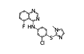 Cn1ccnc1Sc1ccc(Nc2ncnc3cccc(F)c23)cc1Cl